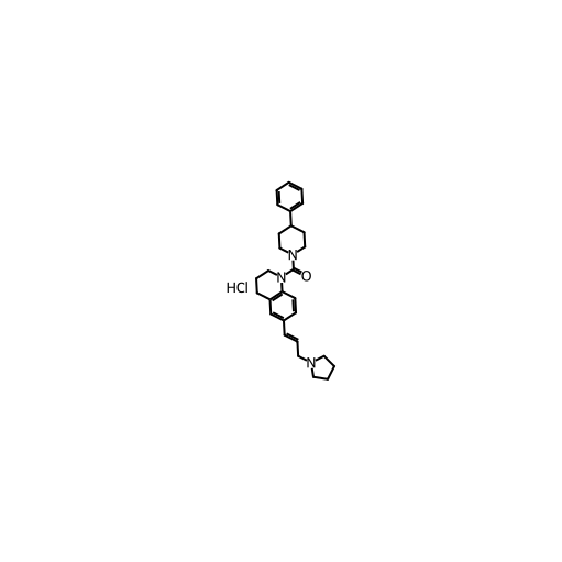 Cl.O=C(N1CCC(c2ccccc2)CC1)N1CCCc2cc(/C=C/CN3CCCC3)ccc21